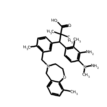 Cc1ccc(C(c2ccc(N(C)N)c(N)c2C)C(C)(C)C(=O)O)cc1CN1CCOc2c(C)cccc2C1